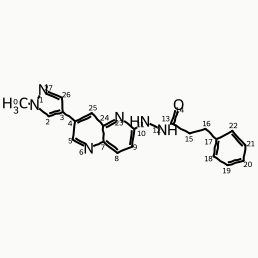 Cn1cc(-c2cnc3ccc(NNC(=O)CCc4ccccc4)nc3c2)cn1